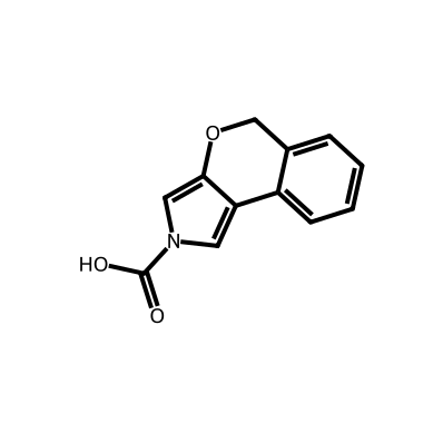 O=C(O)n1cc2c(c1)-c1ccccc1CO2